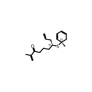 C=CC[C@H](CCCC(=O)C(=C)C)S[C@]1(C)C=CC=CC1